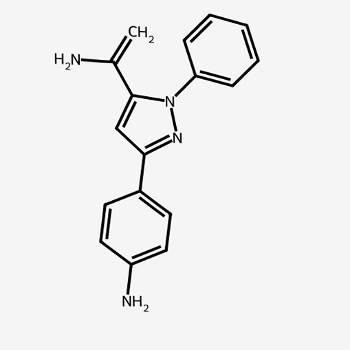 C=C(N)c1cc(-c2ccc(N)cc2)nn1-c1ccccc1